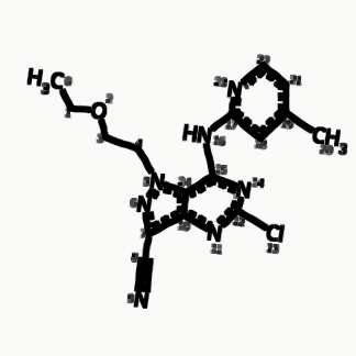 CCOCCn1nc(C#N)c2nc(Cl)nc(Nc3cc(C)ccn3)c21